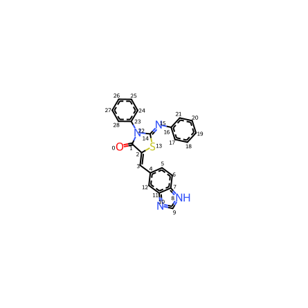 O=C1/C(=C/c2ccc3[nH]cnc3c2)S/C(=N\c2ccccc2)N1c1ccccc1